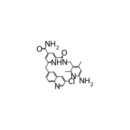 Cc1cc(N)nc(C)c1CNC(=O)c1cc(C(N)=O)cc(Cc2ccc3ncc(Cl)cc3c2)n1